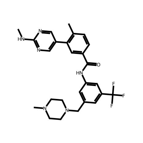 CNc1ncc(-c2cc(C(=O)Nc3cc(CN4CCN(C)CC4)cc(C(F)(F)F)c3)ccc2C)cn1